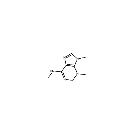 CNC1=NCN(C)c2c1ncn2C